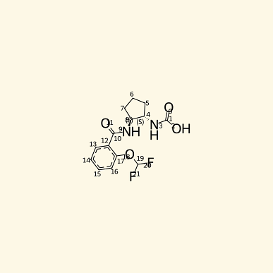 O=C(O)N[C@H]1CCC[C@@H]1NC(=O)c1ccccc1OC(F)F